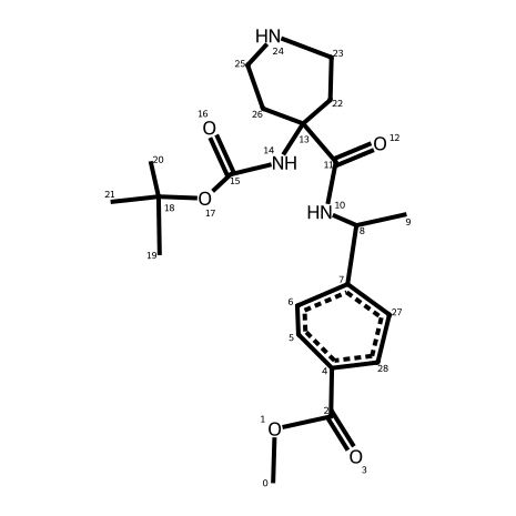 COC(=O)c1ccc(C(C)NC(=O)C2(NC(=O)OC(C)(C)C)CCNCC2)cc1